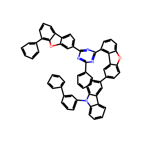 c1ccc(-c2cccc(-n3c4ccccc4c4cc(-c5ccc6oc7cccc(-c8nc(-c9ccccc9)nc(-c9ccc%10c(c9)oc9c(-c%11ccccc%11)cccc9%10)n8)c7c6c5)ccc43)c2)cc1